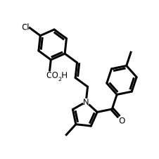 Cc1ccc(C(=O)c2cc(C)cn2CC=Cc2ccc(Cl)cc2C(=O)O)cc1